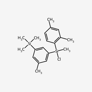 Cc1cc([Si](C)(C)C)cc([Si](C)(Cl)c2ccc(C)cc2C)c1